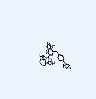 Cn1ncc2nc(C(=O)N[C@H]3CCCC[C@@H]3O)cc(Cc3ccc(-c4cscn4)cc3)c21